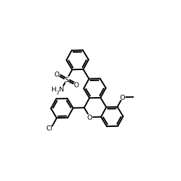 COc1cccc2c1-c1ccc(-c3ccccc3S(N)(=O)=O)cc1C(c1cccc(Cl)c1)O2